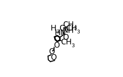 Cc1c(OCCOC2CCCCO2)cccc1C(=O)NNC(C)(C)C